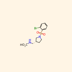 O=C(O)NC[C@H]1CCN(S(=O)(=O)c2ccccc2Br)C1